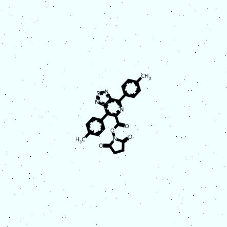 Cc1ccc(-c2nc(C(=O)ON3C(=O)CCC3=O)c(-c3ccc(C)cc3)c3nsnc23)cc1